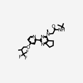 CC(COc1ccnc(-c2nc3c(c(N(C)CC(=O)NC(C)(C)C)n2)CCC3)c1)C(F)(F)F